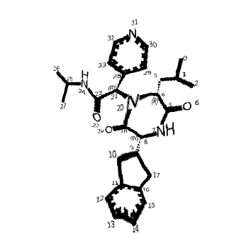 CC(C)C[C@@H]1C(=O)N[C@H](C2Cc3ccccc3C2)C(=O)N1[C@@H](C(=O)NC(C)C)c1ccncc1